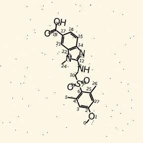 COc1cc(C)c(S(=O)(=O)CNc2nc3ccc(C(=O)O)cc3n2C)c(C)c1